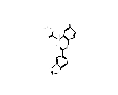 CC(C)(C)OC(=O)Nc1cc(F)ccc1NC(=O)c1ccc2[nH]cnc2c1